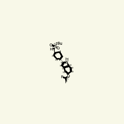 CC(C)(C)S(=O)(=O)N[C@H]1CC[C@H](c2cc3cc(OC(F)F)ccc3[nH]2)CC1